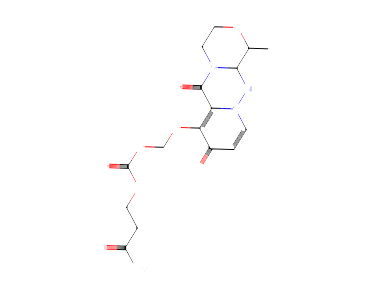 COC(=O)CCOC(=O)OCOc1c2n(ccc1=O)NC1C(C)OCCN1C2=O